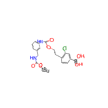 CC(C)(C)OC(=O)NCc1cccc(NC(=O)OCCc2ccc(B(O)O)cc2Cl)c1